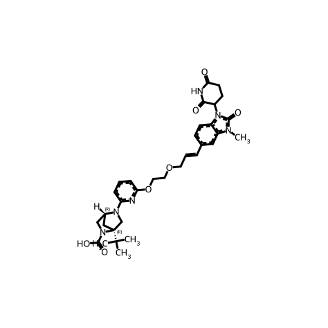 Cn1c(=O)n(C2CCC(=O)NC2=O)c2ccc(C=CCOCCOc3cccc(N4C[C@]5(C(C)(C)C)C[C@@H]4CN5C(=O)O)n3)cc21